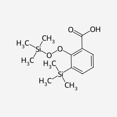 C[Si](C)(C)OOc1c(C(=O)O)cccc1[Si](C)(C)C